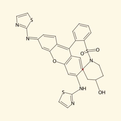 O=S(=O)(c1ccccc1-c1c2cc/c(=N\c3nccs3)cc-2oc2cc(Nc3nccs3)ccc12)N1CCC(O)CC1